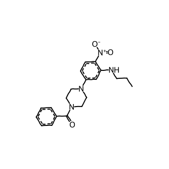 CCCNc1cc(N2CCN(C(=O)c3ccccc3)CC2)ccc1[N+](=O)[O-]